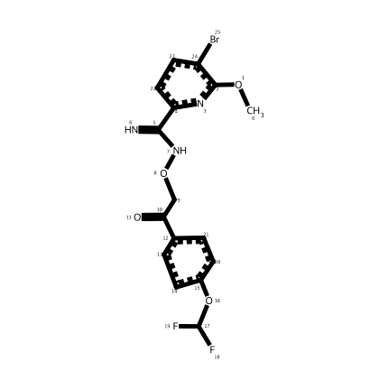 COc1nc(C(=N)NOCC(=O)c2ccc(OC(F)F)cc2)ccc1Br